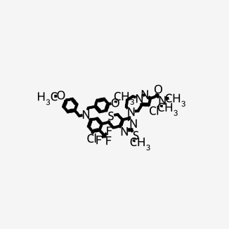 COc1ccc(CN(Cc2ccc(OC)cc2)c2cc(Cl)c(C(F)(F)F)c(C3Cc4nc(SC)nc(N5CCCn6nc(C(=O)N(C)C)c(Cl)c6C5)c4CS3)c2)cc1